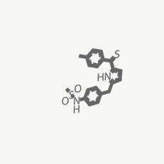 Cc1ccc(C(=S)c2ccc(Cc3ccc(NS(C)(=O)=O)cc3)[nH]2)cc1